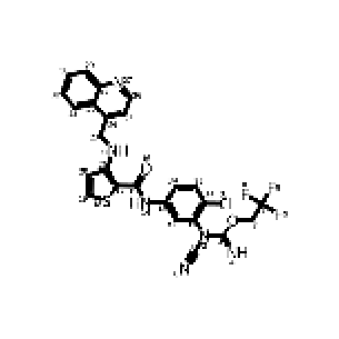 N#CN(C(=N)OCC(F)(F)F)c1cc(NC(=O)c2sccc2NCc2ccnc3ccccc23)ccc1Cl